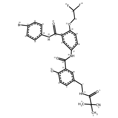 CC(C)(C#N)C(=O)NCc1ccc(Cl)c(C(=O)Nc2ccc(OCC(F)F)c(C(=O)Nc3ccc(Br)cc3)c2)c1